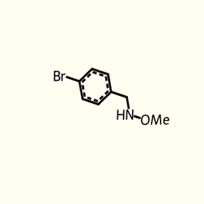 CONCc1ccc(Br)cc1